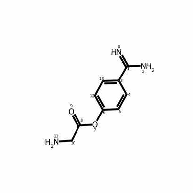 N=C(N)c1ccc(OC(=O)CN)cc1